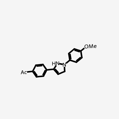 COc1ccc(N2CC=C(c3ccc(C(C)=O)cc3)N2)cc1